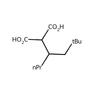 CCCC(CC(C)(C)C)C(C(=O)O)C(=O)O